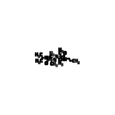 C=CCNC(=O)C(C)(C)N=NC(C)(C)C(=O)NC(=C)C